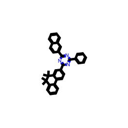 CC1(C)c2ccccc2-c2ccc(-c3nc(-c4ccccc4)nc(-c4ccc5ccccc5c4)n3)cc2C1(C)C